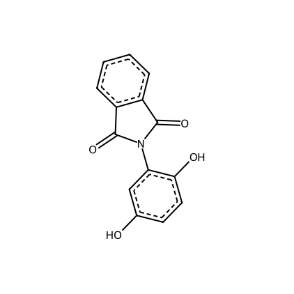 O=C1c2ccccc2C(=O)N1c1cc(O)ccc1O